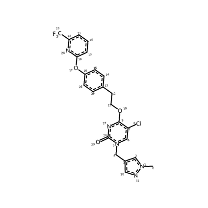 Cn1cc(Cn2cc(Cl)c(OCCc3ccc(Oc4cccc(C(F)(F)F)n4)cc3)nc2=O)cn1